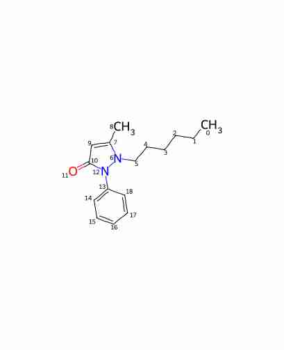 CCCCCCn1c(C)cc(=O)n1-c1ccccc1